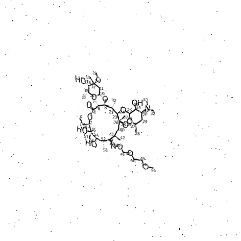 CC[C@H]1OC(=O)[C@H](C)[C@@H](O[C@H]2CC(C)(OC)[C@@H](O)[C@@H](C)O2)[C@H](C)[C@@H](O[C@@H]2O[C@H](C)CC(N(C)C)C2O)[C@](C)(OC)C[C@@H](C)/C(=N\OCOCCOC)[C@H](C)[C@@H](O)[C@]1(C)O